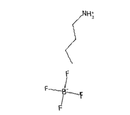 CCCC[NH3+].F[B-](F)(F)F